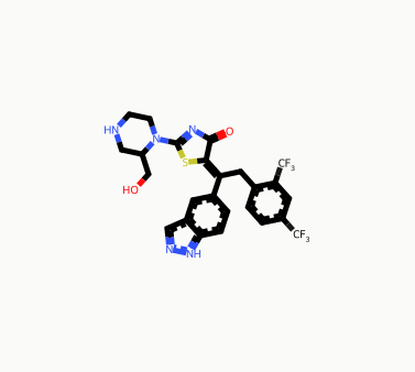 O=C1N=C(N2CCNCC2CO)SC1=C(Cc1ccc(C(F)(F)F)cc1C(F)(F)F)c1ccc2[nH]ncc2c1